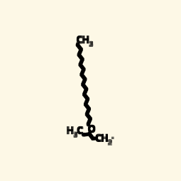 [CH2]CC(CC)OCCCCCCCCCCCCCCCCCC